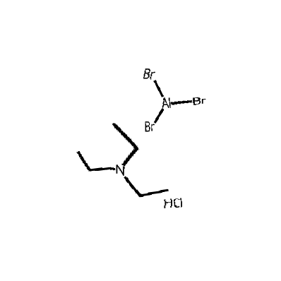 CCN(CC)CC.Cl.[Br][Al]([Br])[Br]